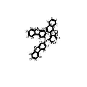 c1ccc2c(c1)ccc1c2oc2cncc(N(c3ccc4c(c3)sc3ccccc34)c3ccc4sc5ccccc5c4c3)c21